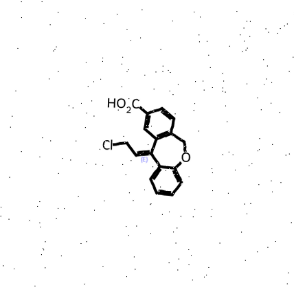 O=C(O)c1ccc2c(c1)/C(=C\CCl)c1ccccc1OC2